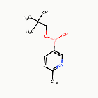 Cc1ccc(B(O)OCC(C)(C)C)cn1